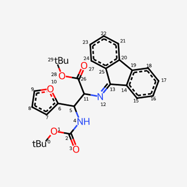 CC(C)(C)OC(=O)NC(c1ccco1)C(N=C1c2ccccc2-c2ccccc21)C(=O)OC(C)(C)C